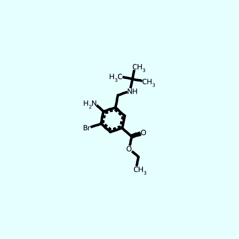 CCOC(=O)c1cc(Br)c(N)c(CNC(C)(C)C)c1